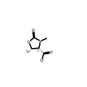 CN1C(=O)OC[C@H]1C(=O)[O-].[Li+]